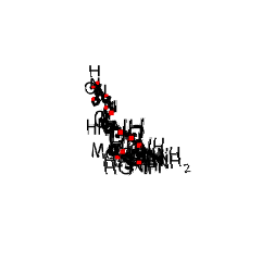 CNC(=O)[C@H](Cc1ccccc1)NC(=O)[C@H](CO)NC(=O)[C@@H](NC(=O)[C@H](CCCNC(=N)N)NC(=O)CNC(=O)CCC(=O)Nc1ccc2[nH]c(=O)n(C3CCN(Cc4ccc(-c5nc6cc[nH]c(=O)c6cc5-c5ccccc5)cc4)CC3)c2c1)C(C)C